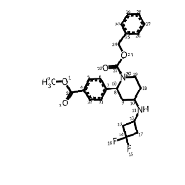 COC(=O)c1ccc([C@@H]2CC(NC3CC(F)(F)C3)CCN2C(=O)OCc2ccccc2)cc1